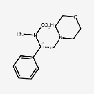 CC(C)(C)N(C(=O)O)[C@H](CN1CCOCC1)c1ccccc1